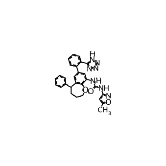 Cc1cc(NC(=O)Nc2cc(-c3ccccc3-c3nnn[nH]3)cc3c2OCCCC3c2ccccc2)no1